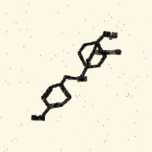 CCOC(=O)C12CCC(NCc3ccc(OC)cc3)(CC1)CC2=O